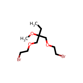 CCC(COCCBr)(COCCBr)OC